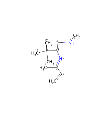 C=C/C(C)=N/C(=C\NC)C(C)(C)C